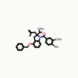 C=C(C)CC1(C(=O)OC)Cc2c(OCc3ccccc3)cccc2N1C(=O)c1ccc(C(C)(C)C)c(OC)c1